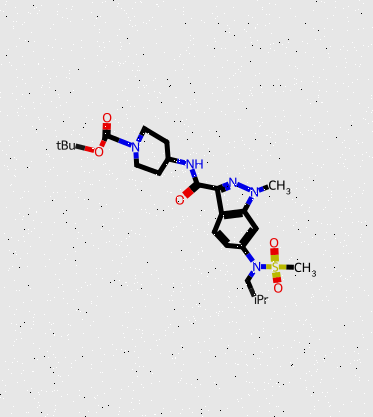 CC(C)CN(c1ccc2c(C(=O)NC3CCN(C(=O)OC(C)(C)C)CC3)nn(C)c2c1)S(C)(=O)=O